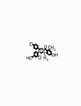 C#Cc1ccc(N2CCN(C(=O)c3c(C)cc(O)cc3C)CC2c2ccc(Cl)cc2)c(Cl)c1